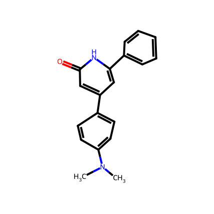 CN(C)c1ccc(-c2cc(-c3ccccc3)[nH]c(=O)c2)cc1